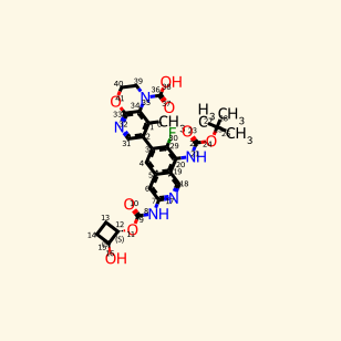 Cc1c(-c2cc3cc(NC(=O)O[C@H]4CC[C@@H]4O)ncc3c(NC(=O)OC(C)(C)C)c2F)cnc2c1N(C(=O)O)CCO2